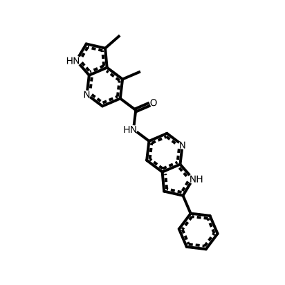 Cc1c[nH]c2ncc(C(=O)Nc3cnc4[nH]c(-c5ccccc5)cc4c3)c(C)c12